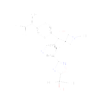 [2H]C([2H])C(C)c1ccc([C@](O)(c2cncc(-c3noc(C(C)(C)O)n3)c2)C2(C)CN(C)C2)cc1